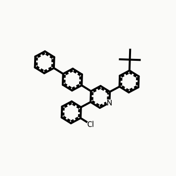 CC(C)(C)c1cccc(-c2cc(-c3ccc(-c4ccccc4)cc3)c(-c3ccccc3Cl)cn2)c1